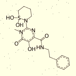 Cn1c(N2CCCCS2(O)O)nc(C(=O)NCCc2ccccc2)c(O)c1=O